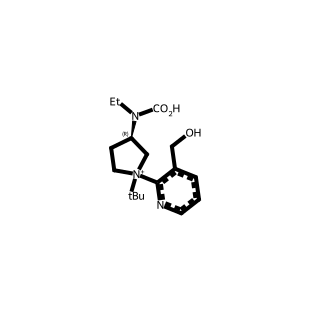 CCN(C(=O)O)[C@@H]1CC[N+](c2ncccc2CO)(C(C)(C)C)C1